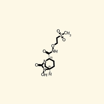 CS(=O)(=O)CCONC(=O)[C@@H]1CC[C@@H]2CN1C(=O)N2O